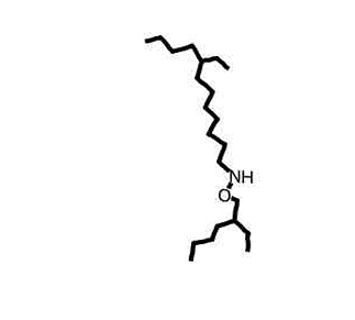 CCCCC(CC)CCCCCCCNOCC(CC)CCCC